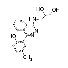 Cc1ccc(O)c(-c2nnc(NCC(O)CO)c3ccccc23)c1